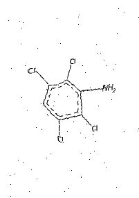 Nc1c(Cl)c(Cl)[c]c(Cl)c1Cl